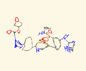 CC(C)(C)NS(=O)(=O)c1cc(Nc2ncc[nH]2)ccc1-c1cnc(C2CCC(NC(=O)OC3COC3)CC2)s1